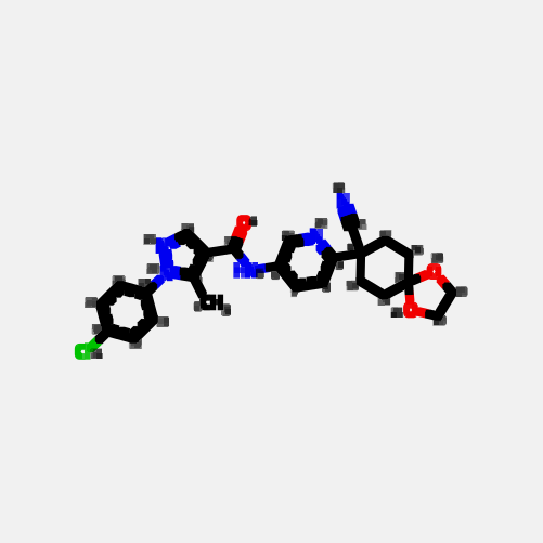 Cc1c(C(=O)Nc2ccc(C3(C#N)CCC4(CC3)OCCO4)nc2)cnn1-c1ccc(Cl)cc1